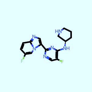 Fc1ccc2ncc(-c3ncc(F)c(N[C@@H]4CCCNC4)n3)n2c1